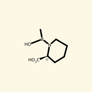 CB(O)N1CCCC[C@H]1C(=O)O